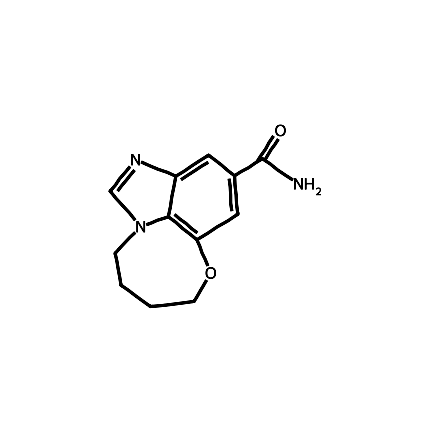 NC(=O)c1cc2c3c(c1)ncn3CCCCO2